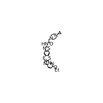 CCOc1ccc2nnc(Sc3cc4sc(NC(=O)CN5CCN(C6CC6)CC5)nc4cc3F)n2n1